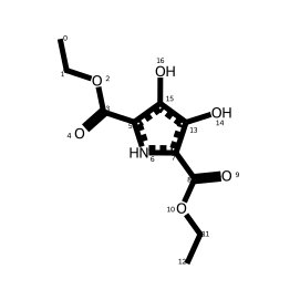 CCOC(=O)c1[nH]c(C(=O)OCC)c(O)c1O